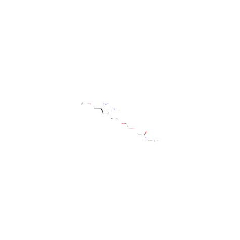 CC(C)NC(=O)COCCOCCN(N)/C=C(\N)COC(C)C